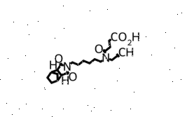 C#CCN(CCCCCCN1C(=O)[C@@H]2C3CCC(C3)[C@@H]2C1=O)C(=O)CCC(=O)O